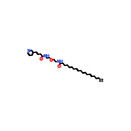 CCC=CCC=CCC=CCC=CCC=CCCCC(=O)NCCOCCNC(=O)CC=Cc1cccnc1